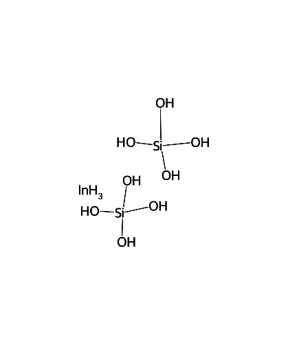 O[Si](O)(O)O.O[Si](O)(O)O.[InH3]